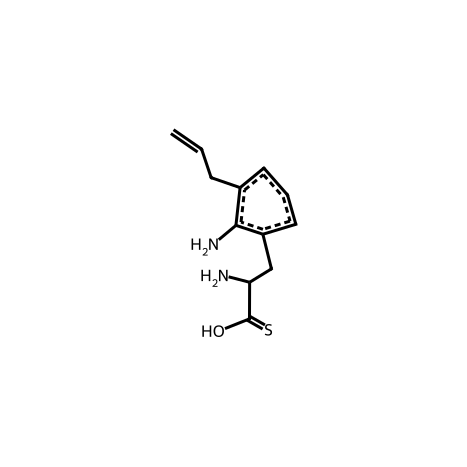 C=CCc1cccc(CC(N)C(O)=S)c1N